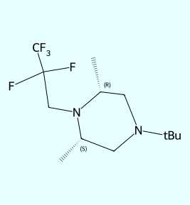 C[C@@H]1CN(C(C)(C)C)C[C@H](C)N1CC(F)(F)C(F)(F)F